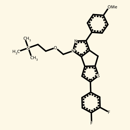 COc1ccc(-c2nn(COCC[Si](C)(C)C)c3c2Cc2sc(-c4ccc(F)c(F)c4)cc2-3)cc1